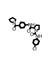 O=C(Nc1ccc(C(=O)N2CCCC2)cc1)C1CCCN1C(=O)Nc1ccc(Cl)cc1